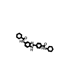 O=C(NC1CCCCC1)c1ccc(-c2nc3cc(NC(=O)C4CCCCC4)ccc3[nH]2)cc1